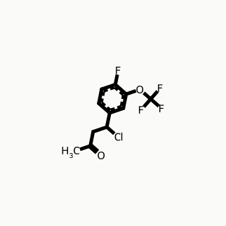 CC(=O)CC(Cl)c1ccc(F)c(OC(F)(F)F)c1